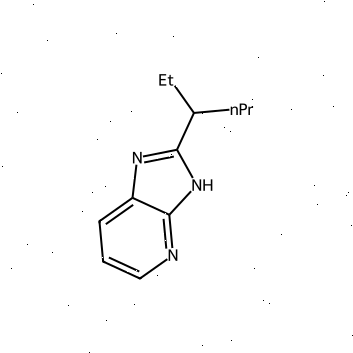 CCCC(CC)c1nc2cccnc2[nH]1